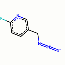 [N-]=[N+]=NCc1ccc(F)nc1